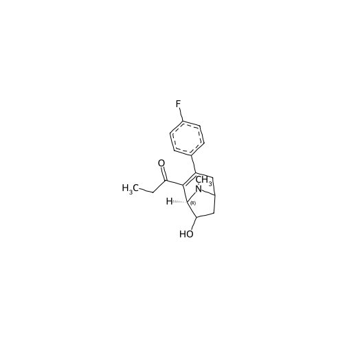 CCC(=O)C1=C(c2ccc(F)cc2)CC2CC(O)[C@@H]1N2C